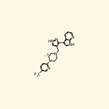 C[C@@H]1CN(Cc2c[nH]nc2-c2c[nH]c3ncccc23)CCN1c1ccc(C(F)(F)F)cn1